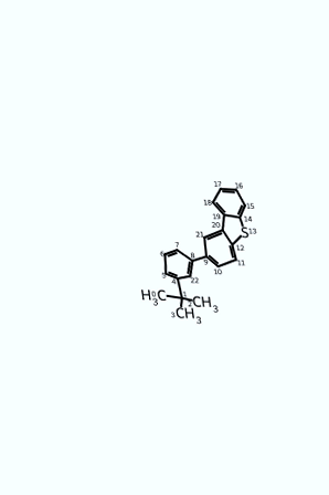 CC(C)(C)c1cccc(-c2ccc3sc4ccccc4c3c2)c1